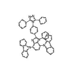 c1ccc(-c2nnc(-c3ccccc3)n2-c2ccc(-c3nc4c(-n5c6ccccc6c6ccccc65)ccc(-n5c6ccccc6c6ccccc65)c4n3-c3ccccc3)cc2)cc1